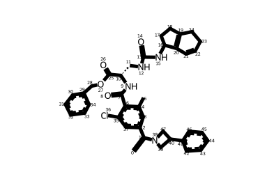 C=C(c1cc(C)c(C(=O)N[C@@H](CNC(=O)NC2CCC3=C2C=CCC3)C(=O)OCc2ccccc2)c(Cl)c1)N1CC(c2ccccc2)C1